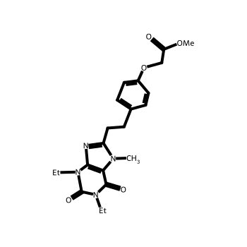 CCn1c(=O)c2c(nc(CCc3ccc(OCC(=O)OC)cc3)n2C)n(CC)c1=O